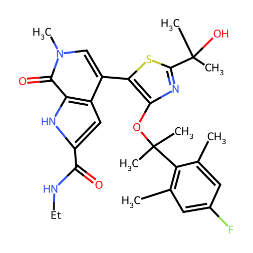 CCNC(=O)c1cc2c(-c3sc(C(C)(C)O)nc3OC(C)(C)c3c(C)cc(F)cc3C)cn(C)c(=O)c2[nH]1